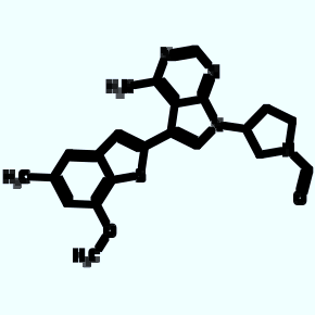 COc1cc(C)cc2cc(-c3cn(C4CCN(C=O)C4)c4ncnc(N)c34)sc12